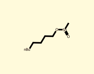 CCCCCCCC[O][Sn]([CH3])=[O]